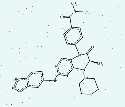 C[C@@H]1C(=O)N(c2ccc(C(=O)N(C)C)cc2)c2cnc(Nc3ccc4[nH]ncc4c3)nc2N1C1CCCCC1